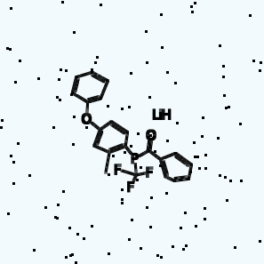 Cc1cc(Oc2ccccc2)ccc1P(C(=O)c1ccccc1)C(F)(F)F.[LiH]